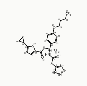 O=C(Cc1nnn[nH]1)N[C@@](CC(=O)c1ccc(C2CC2)s1)(c1ccc(OCCCC(F)(F)F)cc1)C(F)(F)F